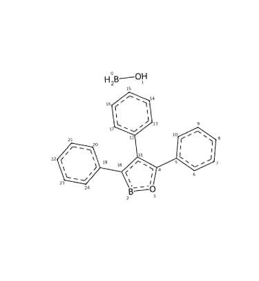 BO.b1oc(-c2ccccc2)c(-c2ccccc2)c1-c1ccccc1